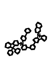 c1ccc(-c2ccc(N(c3cccc(-c4cccc(-c5ccc6c(c5)c5ccccc5n6-c5ccc6ccccc6c5)c4)c3)c3ccc4c(c3)C(c3ccccc3)(c3ccccc3)c3ccccc3-4)cc2)cc1